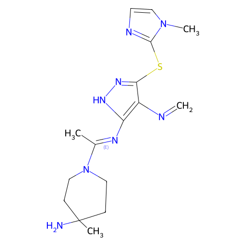 C=Nc1c(Sc2nccn2C)n[nH]c1/N=C(\C)N1CCC(C)(N)CC1